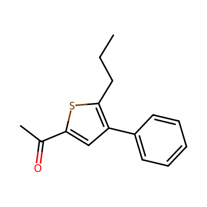 CCCc1sc(C(C)=O)cc1-c1ccccc1